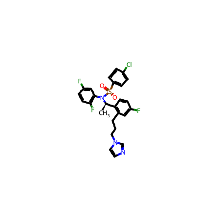 C[C@H](c1ccc(F)cc1CCCn1ccnc1)N(c1cc(F)ccc1F)S(=O)(=O)c1ccc(Cl)cc1